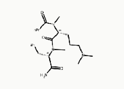 CCCC(=O)N(C)[C@H](CCCN(C)C)C(=O)N(C)[C@@H](CC(C)C)C(N)=O